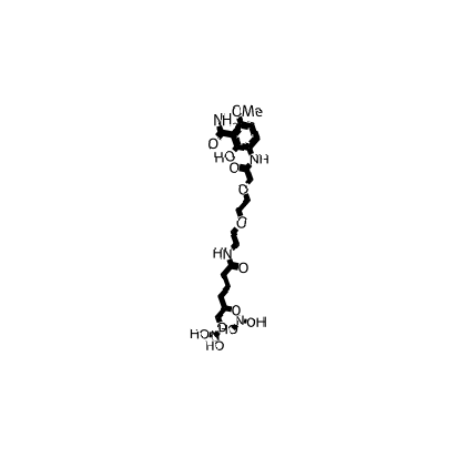 COc1ccc(NC(=O)COCCOCCNC(=O)CCCC(CON(O)O)ON(O)O)c(O)c1C(N)=O